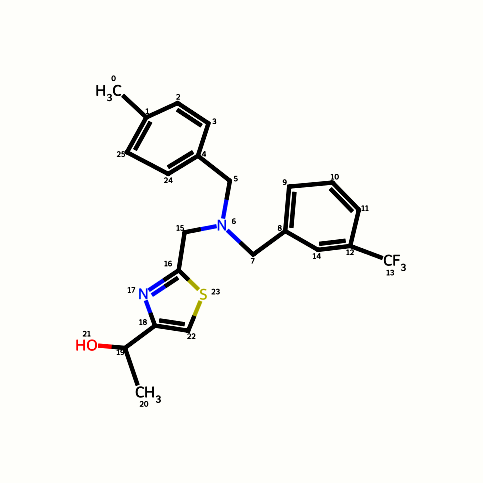 Cc1ccc(CN(Cc2cccc(C(F)(F)F)c2)Cc2nc(C(C)O)cs2)cc1